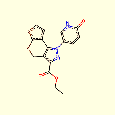 CCOC(=O)c1nn(-c2ccc(=O)[nH]c2)c2c1CSc1sccc1-2